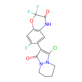 O=C1Nc2cc(-c3c(Cl)n4n(c3=O)CCCC4)c(F)cc2OC1(F)F